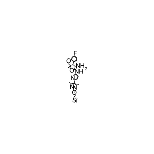 Cc1nn(COCC[Si](C)(C)C)c(C)c1-c1ccc(NC(=O)[C@@H](N)C2c3ccc(F)cc3OCC23CC3)cn1